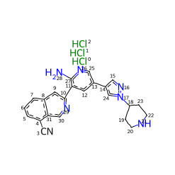 Cl.Cl.Cl.N#Cc1cccc2cc(-c3cc(-c4cnn(C5CCNCC5)c4)cnc3N)ncc12